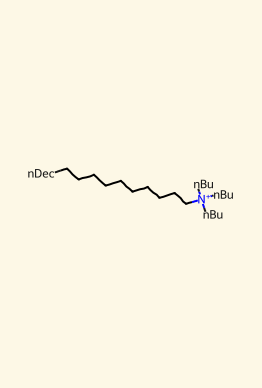 CCCCCCCCCCCCCCCCCCCC[N+](CCCC)(CCCC)CCCC